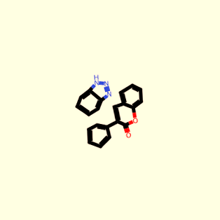 O=c1oc2ccccc2cc1-c1ccccc1.c1ccc2[nH]nnc2c1